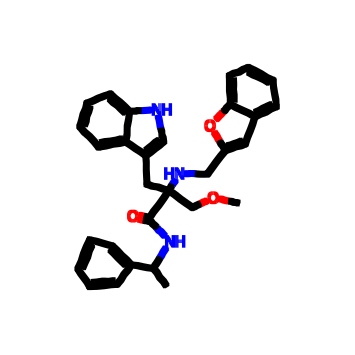 COCC(Cc1c[nH]c2ccccc12)(NCc1cc2ccccc2o1)C(=O)NC(C)c1ccccc1